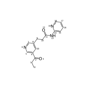 CCC(=O)c1cncc(CCC(=O)Nc2ccccn2)c1